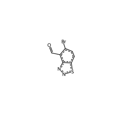 O=Cc1c(Br)ccc2snnc12